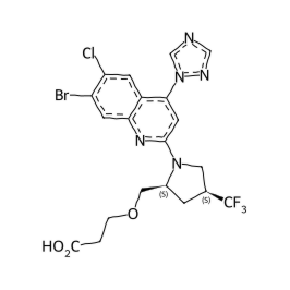 O=C(O)CCOC[C@@H]1C[C@H](C(F)(F)F)CN1c1cc(-n2cncn2)c2cc(Cl)c(Br)cc2n1